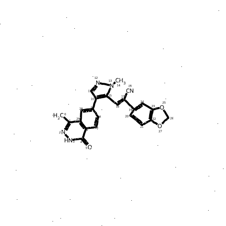 [CH2]c1n[nH]c(=O)c2ccc(-c3cnn(C)c3C=C(C#N)c3ccc4c(c3)OCO4)cc12